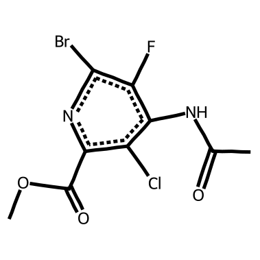 COC(=O)c1nc(Br)c(F)c(NC(C)=O)c1Cl